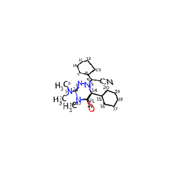 CN(C)C1=NN(C(C#N)C2CCCCC2)C(C2CCCCC2)C(=O)N1C